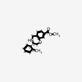 COC(=O)c1ccc2c(c1)OC[C@H](C1C=CC=CC1C)NC2